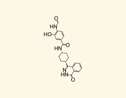 O=CNc1ccc(C(=O)N[C@H]2CC[C@H](c3n[nH]c(=O)c4ccccc43)CC2)cc1O